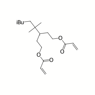 [CH2]CC(C)CC(C)(C)[C](CCOC(=O)C=C)CCOC(=O)C=C